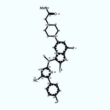 CCc1nc2c(F)cc(N3CCN(CC(=O)NC)CC3)cn2c1N(C)c1nc(-c2ccc(F)cc2)c(C#N)s1